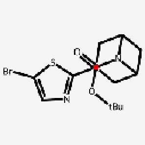 CC(C)(C)OC(=O)N1C2CC1CN(c1ncc(Br)s1)C2